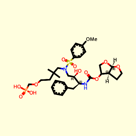 COc1ccc(S(=O)(=O)N(C[C@@H](O)[C@H](Cc2ccccc2)NC(=O)OC2CO[C@H]3OCC[C@@H]23)CC(C)(C)CCOCP(=O)(O)O)cc1